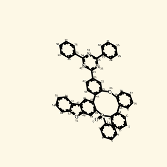 O=P1(c2ccccc2)c2ccccc2-c2ccccc2Oc2cc(-c3nc(-c4ccccc4)nc(-c4ccccc4)n3)ccc2-c2cc3c(cc21)oc1ccccc13